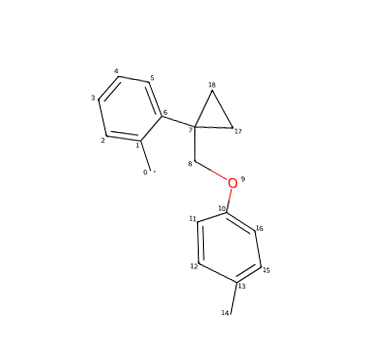 [CH2]c1ccccc1C1(COc2ccc(C)cc2)CC1